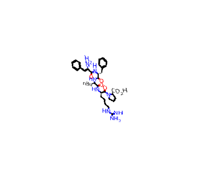 CCCC[C@@H](NC(=O)[C@@H](Cc1ccccc1)NC(=O)[C@H](N)Cc1ccccc1)C(=O)N[C@H](CCCCNC(=N)N)C(=O)N1CCC[C@@H]1C(=O)O